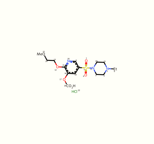 CCN1CCN(S(=O)(=O)c2cnc(OCCOC)c(OC(=O)O)c2)CC1.Cl